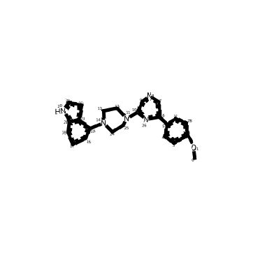 COc1ccc(-c2cncc(N3CCN(c4cccc5[nH]ccc45)CC3)n2)cc1